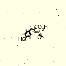 O=C(O)C(CC[C@@H]1CO1)Cc1ccc(O)cc1